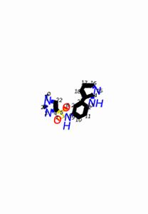 Cn1cnc(S(=O)(=O)Nc2ccc3[nH]c4ncccc4c3c2)c1